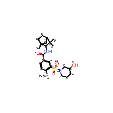 CNc1ccc(C(=O)NC2C3(C)CCC(C3)C2(C)C)cc1S(=O)(=O)N1CCCC(O)C1